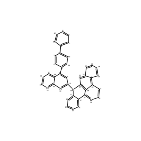 c1ccc(-c2ccc(-c3cc(N4c5ccccc5-c5nccc6c5c4nc4ccccc46)nc4ncccc34)cc2)cc1